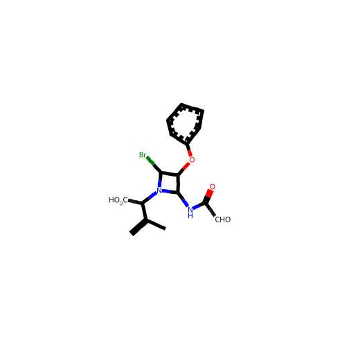 C=C(C)C(C(=O)O)N1C(Br)C(Oc2ccccc2)C1NC(=O)C=O